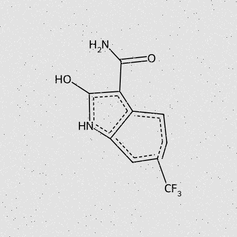 NC(=O)c1c(O)[nH]c2cc(C(F)(F)F)ccc12